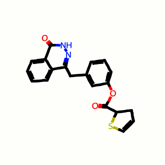 O=C(Oc1cccc(Cc2n[nH]c(=O)c3ccccc23)c1)C1CC=CS1